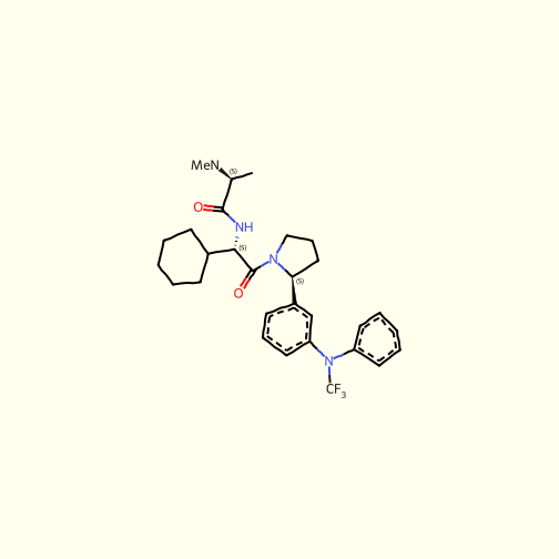 CN[C@@H](C)C(=O)N[C@H](C(=O)N1CCC[C@H]1c1cccc(N(c2ccccc2)C(F)(F)F)c1)C1CCCCC1